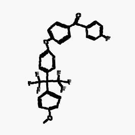 COc1ccc(C(c2ccc(Oc3ccc(C(=O)c4ccc(F)cc4)cc3)cc2)(C(F)(F)F)C(F)(F)F)cc1